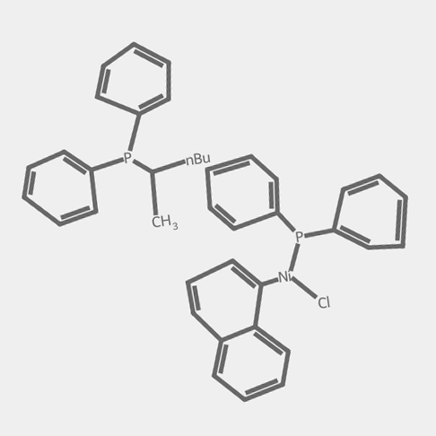 CCCCC(C)P(c1ccccc1)c1ccccc1.[Cl][Ni]([c]1cccc2ccccc12)[P](c1ccccc1)c1ccccc1